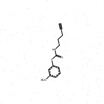 C#CCCCNC(=O)Sc1cccc(OCC(C)C)c1